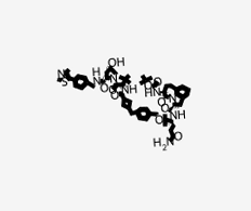 Cc1ncsc1-c1ccc(CNC(=O)[C@@H]2C[C@@H](O)CN2C(=O)[C@@H](NC(=O)C2CC(Cc3ccc(COC(C)(C)[C@H](CCC(N)=O)NC(=O)[C@@H]4Cc5cccc6c5N4C(=O)[C@@H](NC(=O)OC(C)(C)C)CC6)cc3)C2)C(C)(C)C)cc1